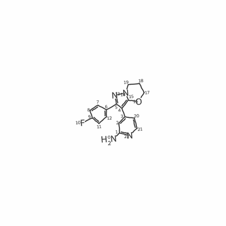 Nc1cc(-c2c(-c3ccc(F)cc3)nn3c2OCCC3)ccn1